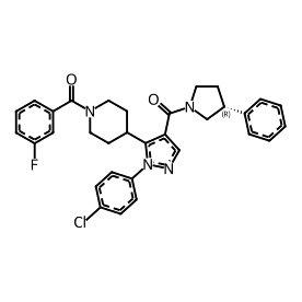 O=C(c1cccc(F)c1)N1CCC(c2c(C(=O)N3CC[C@H](c4ccccc4)C3)cnn2-c2ccc(Cl)cc2)CC1